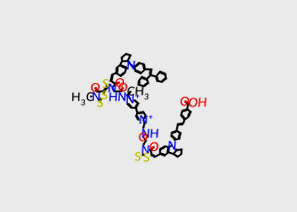 CC(NC(=O)Cn1c(=O)/c(=C\c2ccc3c(c2)C2CCCC2N3c2ccc(C=C(c3ccccc3)c3ccccc3)cc2)s/c1=C1/SC(=S)N(C)C1=O)[n+]1ccc(-c2cc[n+](CCNOCCN3C(=O)/C(=C\c4ccc5c(c4)C4CCCC4N5c4ccc(/C=C/c5ccc(C(=O)O)cc5)cc4)SC3=S)cc2)cc1